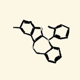 Cc1ccc2oc3c(c2c1)OCc1ccccc1N3c1ccccc1C